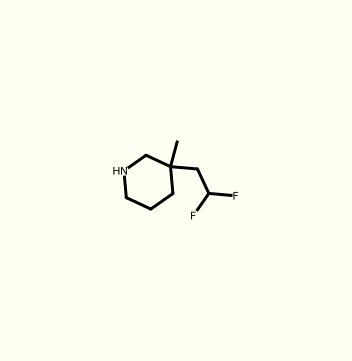 CC1(CC(F)F)CCCNC1